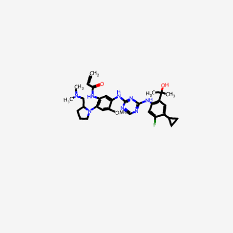 C=CC(=O)Nc1cc(Nc2ncnc(Nc3cc(F)c(C4CC4)cc3C(C)(C)O)n2)c(OC)cc1N1CCCC1CN(C)C